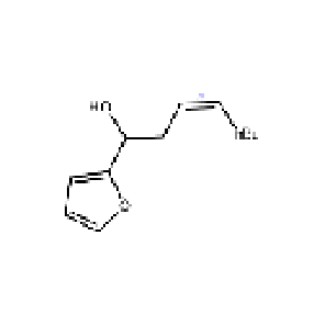 CCCC/C=C\CC(O)c1ccco1